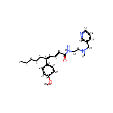 CCCCCC(=CC=CC(=O)NCCN(C)Cc1cccnc1)c1ccc(OC)cc1